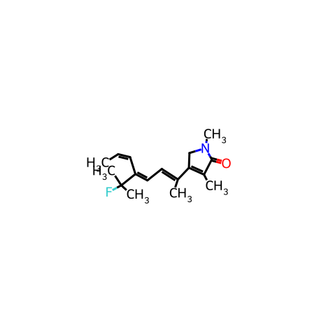 C\C=C/C(=C\C=C(/C)C1=C(C)C(=O)N(C)C1)C(C)(C)F